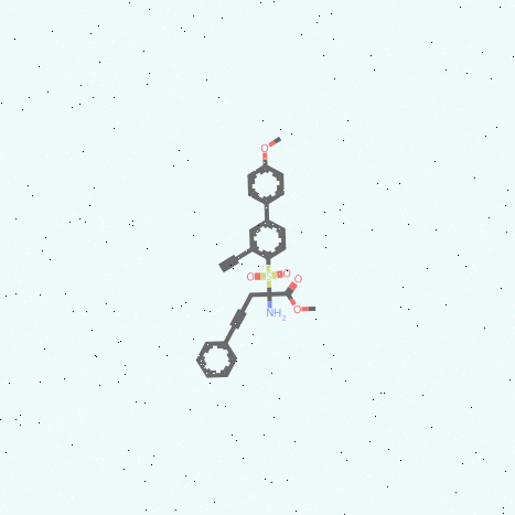 C#Cc1cc(-c2ccc(OC)cc2)ccc1S(=O)(=O)C(N)(CC#Cc1ccccc1)C(=O)OC